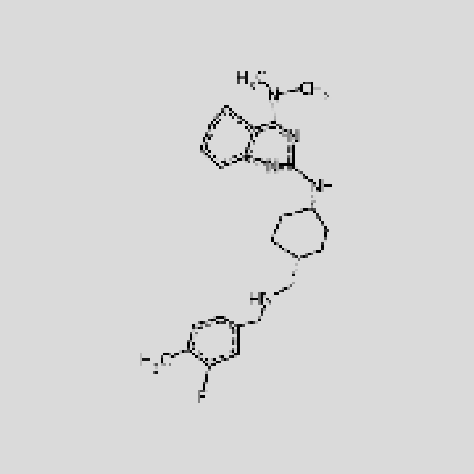 Cc1ccc(CNC[C@H]2CC[C@@H](Nc3nc(N(C)C)c4ccccc4n3)CC2)cc1F